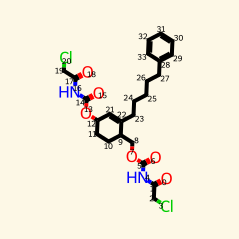 O=C(CCl)NC(=O)OCC1CCC(OC(=O)NC(=O)CCl)C=C1CCCCCc1ccccc1